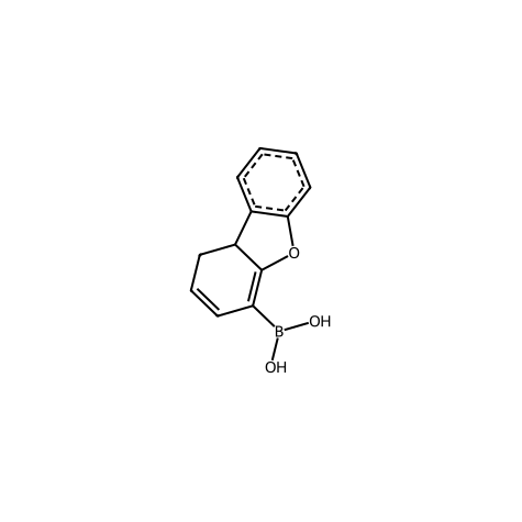 OB(O)C1=C2Oc3ccccc3C2CC=C1